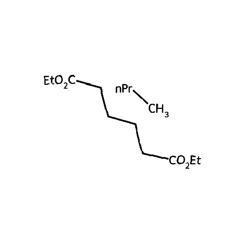 CCCC.CCOC(=O)CCCCC(=O)OCC